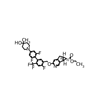 CCOC(=O)[C@H]1[C@@H]2Cc3cc(OCc4cc(-c5ccc(N6CCC(C)(O)CC6)cc5F)c(C(F)(F)F)cc4F)ncc3[C@@H]21